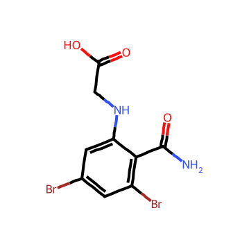 NC(=O)c1c(Br)cc(Br)cc1NCC(=O)O